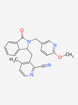 COc1ccc(CN2C(=O)c3ccccc3C2Cc2c(C)ccnc2C#N)cn1